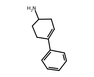 NC1CC=C(c2ccccc2)CC1